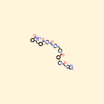 O=C(CN1CCN(CC2CCN(C(=O)c3cccc([C@@H]4CCCN(C(=O)CN5Cc6cncnc6C5)C4)c3)CC2)CC1)N1CCN(C(=O)c2cc(Cc3n[nH]c(=O)c4ccccc34)ccc2F)CC1